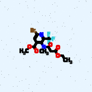 CCOC(=O)CC(=O)N(C)c1c(C(=O)OC)cc(Br)nc1C(F)(F)F